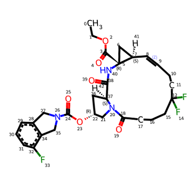 CCOC(=O)[C@@]12C[C@H]1/C=C\CCC(F)(F)CCCC(=O)N1C[C@H](OC(=O)N3Cc4cccc(F)c4C3)C[C@H]1C(=O)N2